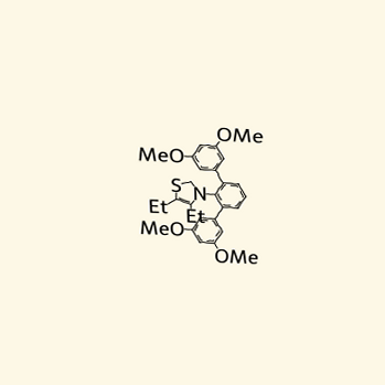 CCC1=C(CC)N(c2c(-c3cc(OC)cc(OC)c3)cccc2-c2cc(OC)cc(OC)c2)CS1